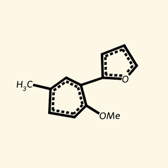 COc1ccc(C)cc1-c1ccco1